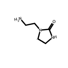 NCCN1[CH]CNC1=O